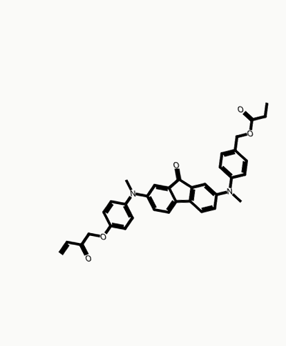 C=CC(=O)COc1ccc(N(C)c2ccc3c(c2)C(=O)c2cc(N(C)c4ccc(COC(=O)CC)cc4)ccc2-3)cc1